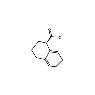 O=C(Cl)[C@@H]1CCCc2ccccc21